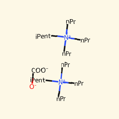 CCCC(C)[N+](CCC)(CCC)CCC.CCCC(C)[N+](CCC)(CCC)CCC.O=C([O-])[O-]